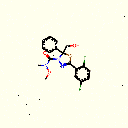 CON(C)C(=O)N1N=C(c2cc(F)ccc2F)SC1(CO)c1ccccc1